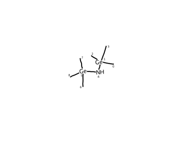 [CH3][Ge]([CH3])([CH3])[NH][Ge]([CH3])([CH3])[CH3]